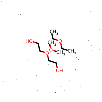 CCOCC.COC.OCCOCCO